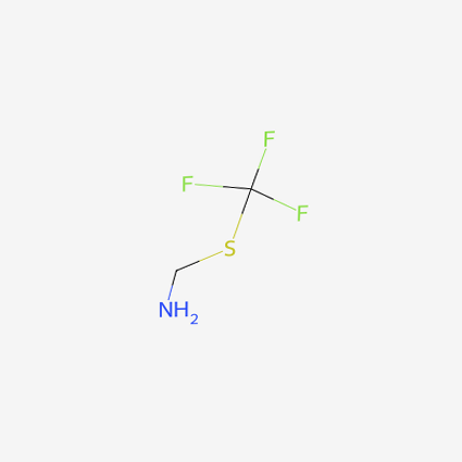 NCSC(F)(F)F